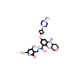 CCN(c1cc(O[C@H]2C[C@H](N3CCN(C)CC3)C2)cc(C(O)NCc2c(C)cc(C)[nH]c2=O)c1C)C1CCOCC1